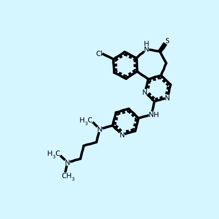 CN(C)CCCN(C)c1ccc(Nc2ncc3c(n2)-c2ccc(Cl)cc2NC(=S)C3)cn1